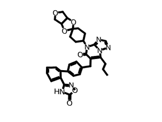 CCCc1c(Cc2ccc(-c3ccccc3-c3noc(=O)[nH]3)cc2)c(=O)n(C2CCC3(CC2)OC2COCC2O3)c2ncnn12